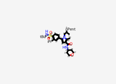 CCCCCC(C)Cn1c(-c2ccc(S(=O)(=O)NC(C)(C)C)c(C(C)C)c2)cc(C(=O)NC2CCOCC2)c1C